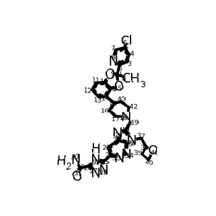 CC1(c2ccc(Cl)cn2)Oc2cccc(C3CCN(Cc4nc5cc(-c6nnc(C(N)=O)[nH]6)nnc5n4CC4CCO4)CC3)c2O1